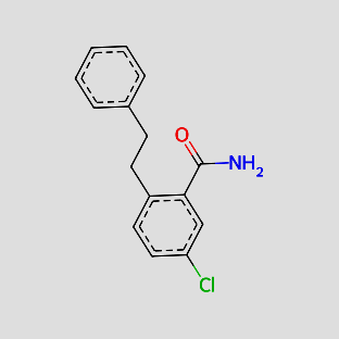 NC(=O)c1cc(Cl)ccc1CCc1ccccc1